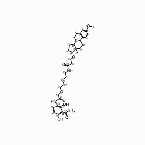 COc1ccc2c(c1)CCC1C2CCC2(C)C1CC[C@H]2OCCC(=O)NCCOCCOCC(=O)Nc1ccc(O)c(C(N)=O)c1O